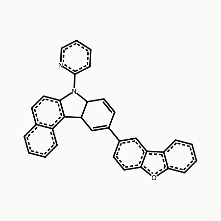 C1=CC2C(C=C1c1ccc3oc4ccccc4c3c1)c1c(ccc3ccccc13)N2c1ccccn1